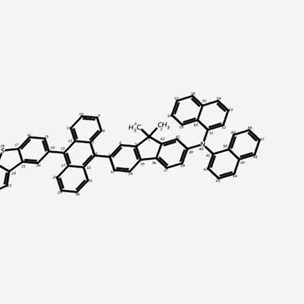 CC1(C)c2cc(-c3c4ccccc4c(-c4ccc5sc6ccccc6c5c4)c4ccccc34)ccc2-c2ccc(N(c3cccc4ccccc34)c3cccc4ccccc34)cc21